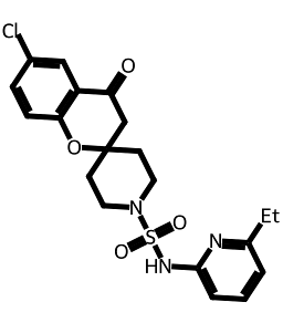 CCc1cccc(NS(=O)(=O)N2CCC3(CC2)CC(=O)c2cc(Cl)ccc2O3)n1